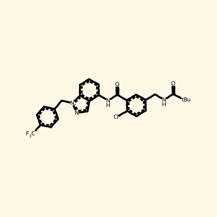 CC(C)(C)C(=O)NCc1ccc(Cl)c(C(=O)Nc2cccc3c2cnn3Cc2ccc(C(F)(F)F)cc2)c1